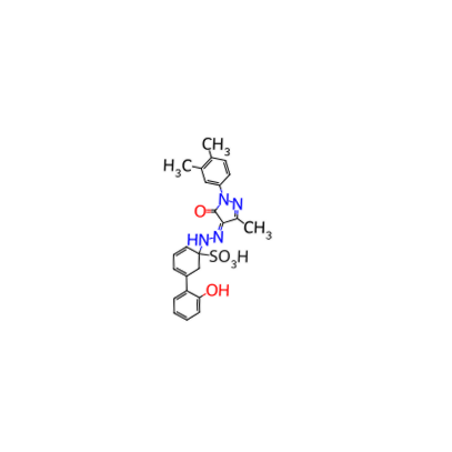 CC1=NN(c2ccc(C)c(C)c2)C(=O)C1=NNC1(S(=O)(=O)O)C=CC=C(c2ccccc2O)C1